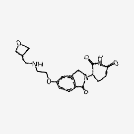 O=C1CCC(N2Cc3cc(OCCNCC4COC4)ccc3C2=O)C(=O)N1